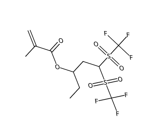 C=C(C)C(=O)OC(CC)CC(S(=O)(=O)C(F)(F)F)S(=O)(=O)C(F)(F)F